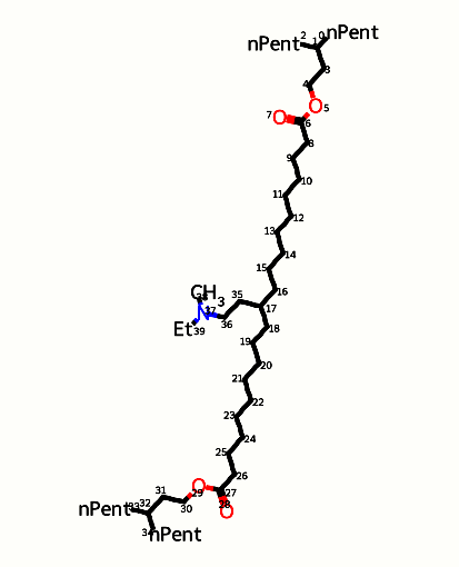 CCCCCC(CCCCC)CCOC(=O)CCCCCCCCCC(CCCCCCCCCC(=O)OCCC(CCCCC)CCCCC)CCN(C)CC